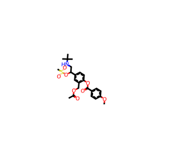 COc1ccc(C(=O)Oc2ccc(C(CNC(C)(C)C)OS(C)(=O)=O)cc2COC(C)=O)cc1